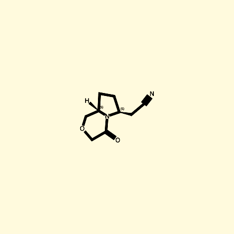 N#CC[C@@H]1CC[C@H]2COCC(=O)N12